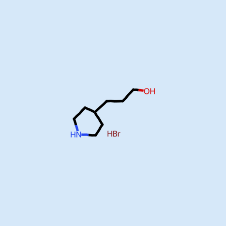 Br.OCCCC1CCNCC1